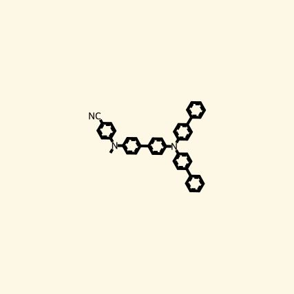 CN(c1ccc(C#N)cc1)c1ccc(-c2ccc(N(c3ccc(-c4ccccc4)cc3)c3ccc(-c4ccccc4)cc3)cc2)cc1